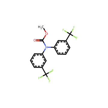 COC(=O)N(c1cccc(C(F)(F)F)c1)c1cccc(C(F)(F)F)c1